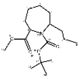 CCCC1CCCCC(C(=O)OC)N1C(=O)OC(C)(C)C